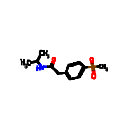 CC(C)NC(=O)Cc1ccc(S(C)(=O)=O)cc1